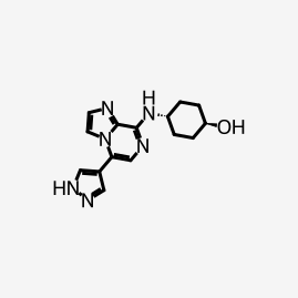 O[C@H]1CC[C@H](Nc2ncc(-c3cn[nH]c3)n3ccnc23)CC1